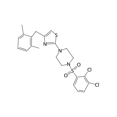 Cc1cccc(C)c1Cc1csc(N2CCN(S(=O)(=O)c3cccc(Cl)c3Cl)CC2)n1